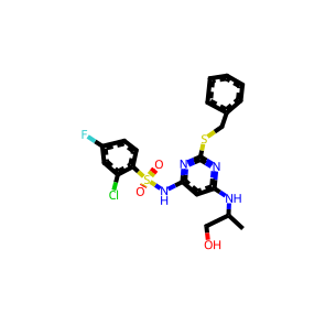 CC(CO)Nc1cc(NS(=O)(=O)c2ccc(F)cc2Cl)nc(SCc2ccccc2)n1